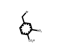 O=C(O)c1ccc(CBr)cc1[N+](=O)[O-]